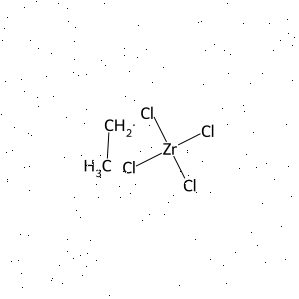 [CH2]C.[Cl][Zr]([Cl])([Cl])[Cl]